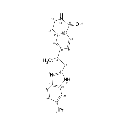 CC(C)c1ccc2nc(CC(C)c3ccc4c(c3)CCNC4=O)[nH]c2c1